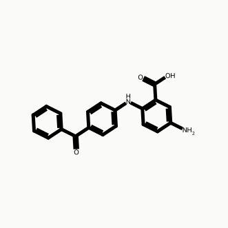 Nc1ccc(Nc2ccc(C(=O)c3ccccc3)cc2)c(C(=O)O)c1